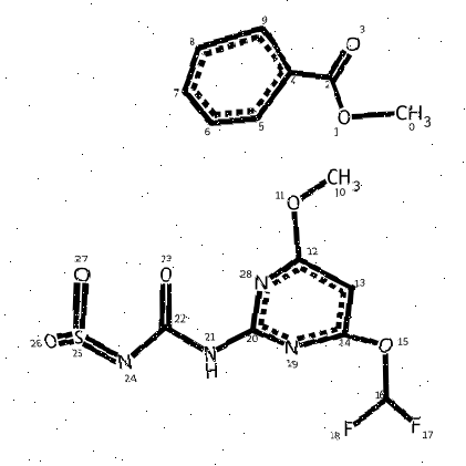 COC(=O)c1ccccc1.COc1cc(OC(F)F)nc(NC(=O)N=S(=O)=O)n1